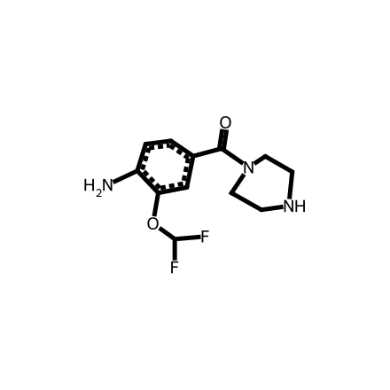 Nc1ccc(C(=O)N2CCNCC2)cc1OC(F)F